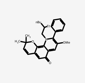 CCCCC(CC)Cn1c(-c2ccccc2)c(OC)cc2c(=O)cc3c(c1-2)OC(C)(C)C=C3